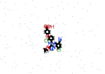 CC1(Oc2ncnc3c2nc(-c2cccc(OC4CCC(C(=O)O)CC4)c2Cl)n3Cc2cc(Cl)ccc2C#N)CC1